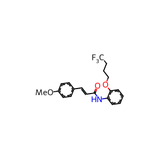 COc1ccc(/C=C/C(=O)Nc2ccccc2OCCCC(F)(F)F)cc1